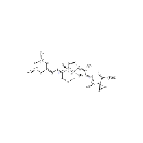 CCCCCC(=O)C1([C@@H](O)/C=C/[C@@H](C)[C@H]2CC[C@H]3/C(=C/C=C4C[C@@H](O)C[C@H](O)C4)CCC[C@]23C)CC1